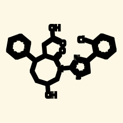 O=C(O)CC1C(=O)N(c2nc(-c3ccccc3Cl)cs2)CC(O)CCC1c1ccccc1